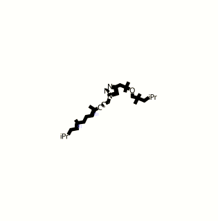 C/C(=C\CC(C)C)CC/C=C(\C)CCCn1cc(CC(C)(C)OCC(C)(C)CC(C)C)nn1